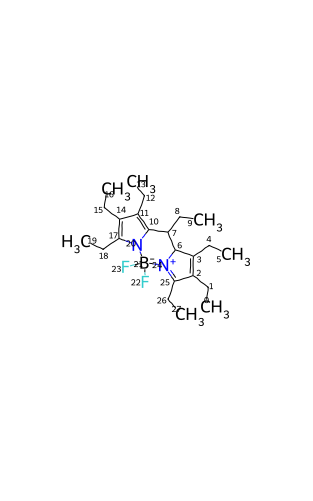 CCC1=C(CC)C2C(CC)c3c(CC)c(CC)c(CC)n3[B-](F)(F)[N+]2=C1CC